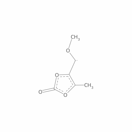 CO[CH]c1oc(=O)oc1C